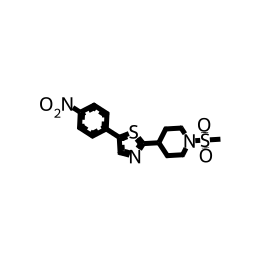 CS(=O)(=O)N1CCC(c2ncc(-c3ccc([N+](=O)[O-])cc3)s2)CC1